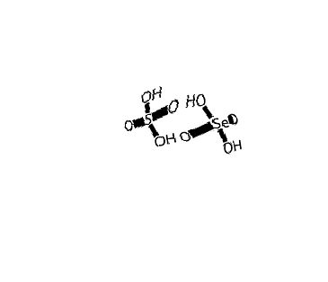 O=S(=O)(O)O.O=[Se](=O)(O)O